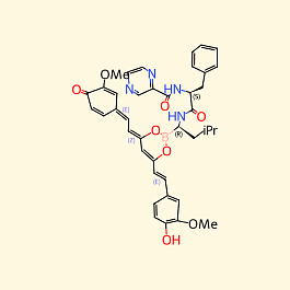 COC1=C/C(=C/C=C2C=C(/C=C/c3ccc(O)c(OC)c3)OB([C@H](CC(C)C)NC(=O)[C@H](Cc3ccccc3)NC(=O)c3cnccn3)O/2)C=CC1=O